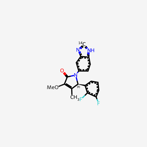 COC1=C(C)[C@H](c2cccc(F)c2F)N(c2ccc3[nH][14cH]nc3c2)C1=O